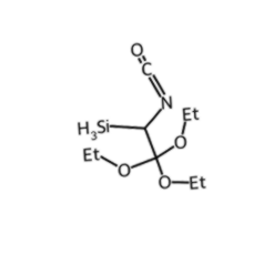 CCOC(OCC)(OCC)C([SiH3])N=C=O